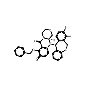 O=C1c2c(OCc3ccccc3)c(=O)ccn2N([C@@H]2c3ccccc3SCc3c2ccc(F)c3F)[C@@H]2CSCCN12